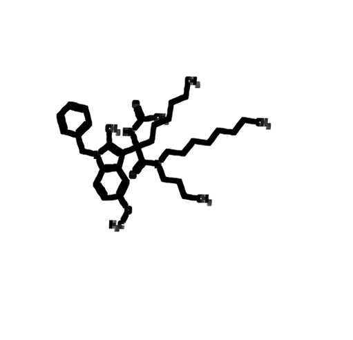 CCCCCCCCN(CCCC)C(=O)C(CCCCCC)(NC(C)=O)c1c(C)n(Cc2ccccc2)c2ccc(OC)cc12